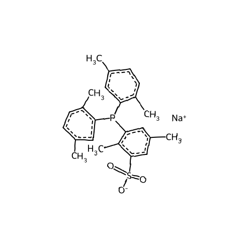 Cc1ccc(C)c(P(c2cc(C)ccc2C)c2cc(C)cc(S(=O)(=O)[O-])c2C)c1.[Na+]